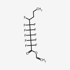 C=COC(=O)C(F)(F)C(F)(F)C(F)(F)C(F)(F)C(F)(F)C(F)CCC